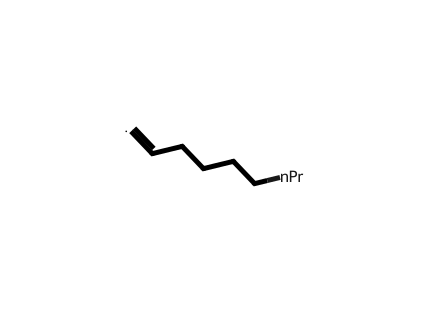 [CH]=CCCCCCCC